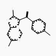 CCc1nc2cc(Cl)ncn2c1C(=O)c1ccc(C)cc1